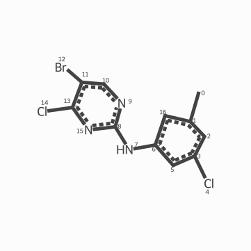 Cc1cc(Cl)cc(Nc2ncc(Br)c(Cl)n2)c1